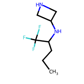 CCCC(NC1CNC1)C(F)(F)F